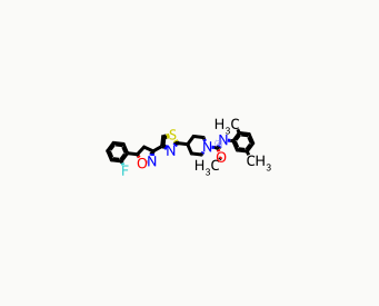 CO/C(=N\c1cc(C)ccc1C)N1CCC(c2nc(C3=NOC(c4ccccc4F)C3)cs2)CC1